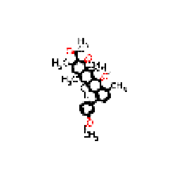 CCOc1cccc(-c2ccc(C)c3c2CC2(C)CC4(C)CC(C)=C(C(C)=O)C(=O)C4(C)C(C)=C2C3=O)c1